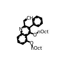 C=Cc1nc2cccc(OCCCCCCCC)c2c(OCCCCCCCC)c1-c1ccccc1